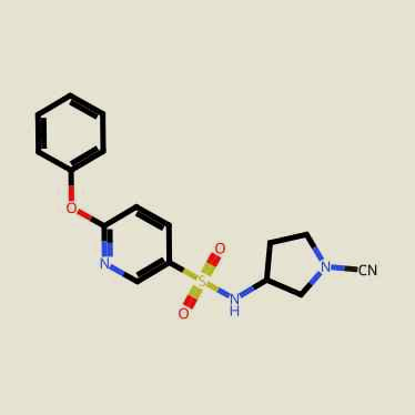 N#CN1CCC(NS(=O)(=O)c2ccc(Oc3ccccc3)nc2)C1